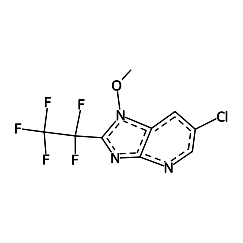 COn1c(C(F)(F)C(F)(F)F)nc2ncc(Cl)cc21